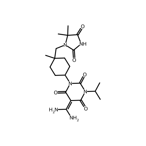 CC(C)N1C(=O)C(=C(N)N)C(=O)N(C2CCC(C)(CN3C(=O)NC(=O)C3(C)C)CC2)C1=O